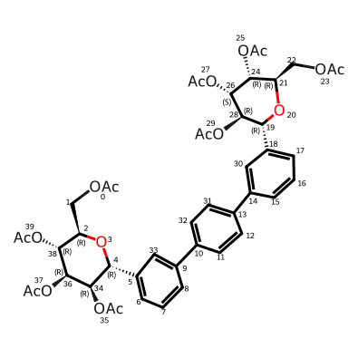 CC(=O)OC[C@H]1O[C@H](c2cccc(-c3ccc(-c4cccc([C@H]5O[C@H](COC(C)=O)[C@@H](OC(C)=O)[C@@H](OC(C)=O)[C@@H]5OC(C)=O)c4)cc3)c2)[C@@H](OC(C)=O)[C@@H](OC(C)=O)[C@@H]1OC(C)=O